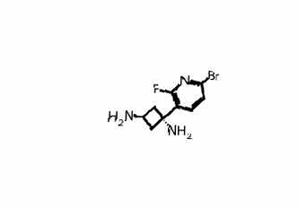 N[C@H]1C[C@@](N)(c2ccc(Br)nc2F)C1